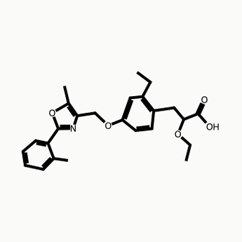 CCOC(Cc1ccc(OCc2nc(-c3ccccc3C)oc2C)cc1CC)C(=O)O